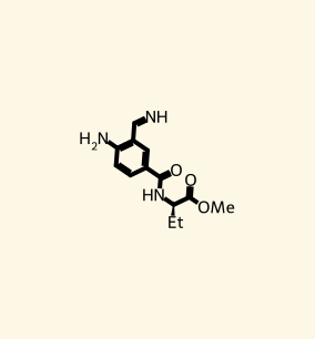 CC[C@@H](NC(=O)c1ccc(N)c(C=N)c1)C(=O)OC